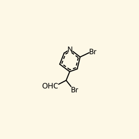 O=CC(Br)c1ccnc(Br)c1